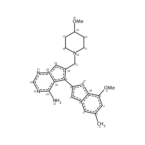 COc1cc(C)cc2cc(-c3c(CN4CCC(OC)CC4)cn4ncnc(N)c34)sc12